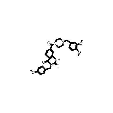 COc1ccc(Cn2c(=O)[nH]c3cc(C(=O)N4CCN(Cc5ccc(OC)c(OC)c5)CC4)ccc3c2=O)cc1